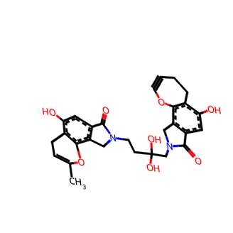 CC1=CCc2c(O)cc3c(c2O1)CN(CCC(O)(O)CN1Cc2c(cc(O)c4c2OC#CCC4)C1=O)C3=O